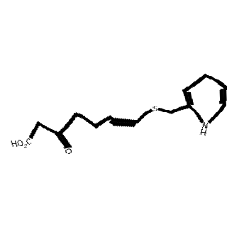 O=C(O)CC(=O)CCC=CSCC1=CCC=CN1